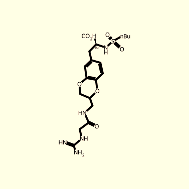 CCCCS(=O)(=O)N[C@@H](Cc1ccc2c(c1)OCC(CNC(=O)CNC(=N)N)O2)C(=O)O